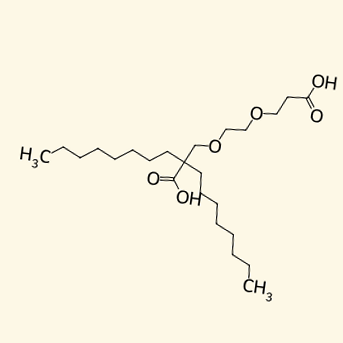 CCCCCCCCC(CCCCCCCC)(COCCOCCC(=O)O)C(=O)O